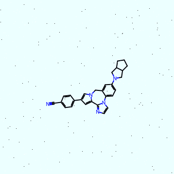 N#Cc1ccc(-c2cc3n(c2)Cc2cc(N4CC5CCCC5C4)ccc2-n2ccnc2-3)cc1